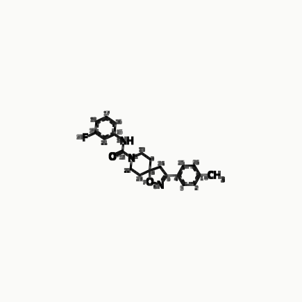 Cc1ccc(C2=NOC3(CCN(C(=O)Nc4cccc(F)c4)CC3)C2)cc1